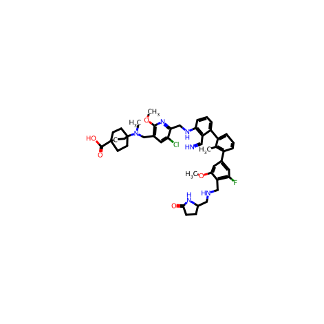 COc1cc(-c2cccc(-c3cccc(NCc4nc(OC)c(CN(C)C56CCC(C(=O)O)(CC5)CC6)cc4Cl)c3C=N)c2C)cc(F)c1CNCC1CCC(=O)N1